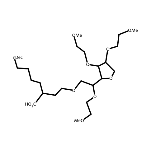 CCCCCCCCCCCCCCC(CCOCC(OCCOC)C1OCC(OCCOC)C1OCCOC)C(=O)O